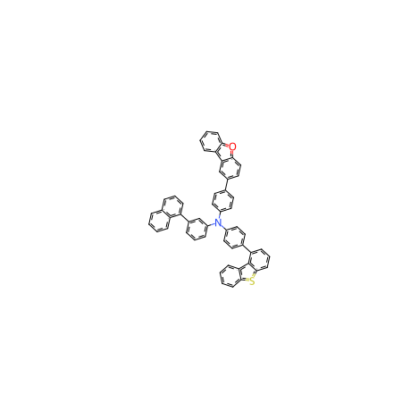 c1cc(-c2cccc3ccccc23)cc(N(c2ccc(-c3ccc4oc5ccccc5c4c3)cc2)c2ccc(-c3cccc4sc5ccccc5c34)cc2)c1